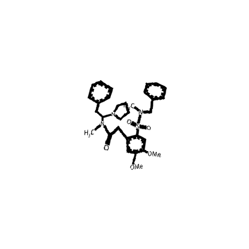 COc1cc(CC(=O)N(C)C(Cc2ccccc2)N2CCCC2)c(S(=O)(=O)N(C)Cc2ccccc2)cc1OC